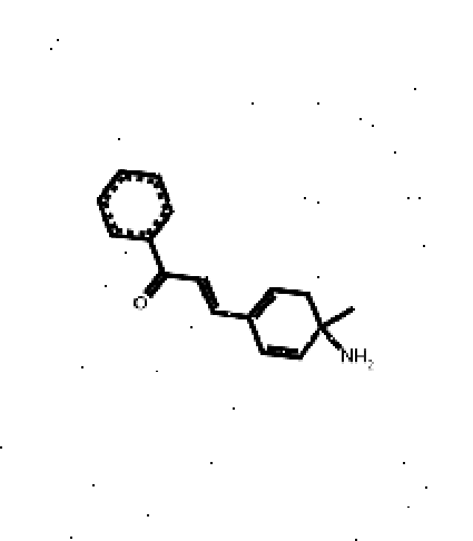 CC1(N)C=CC(C=CC(=O)c2ccccc2)=CC1